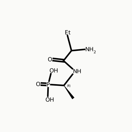 CCC(N)C(=O)N[C@@H](C)P(=O)(O)O